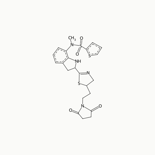 CN(c1cccc2c1NC(C1=NCC(CCN3C(=O)CCC3=O)S1)C2)S(=O)(=O)c1cccs1